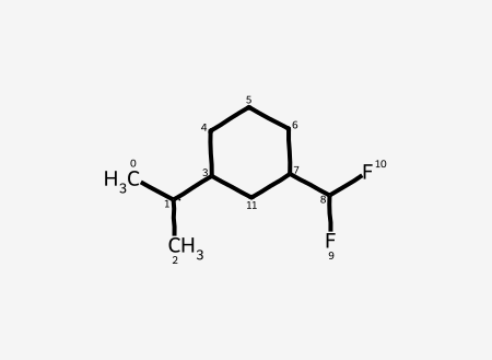 C[C](C)C1CCCC(C(F)F)C1